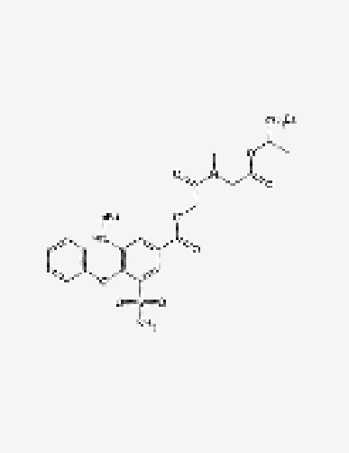 CCCCNc1cc(C(=O)OCC(=O)N(C)CC(=O)OC(C)C(=O)OCC)cc(S(N)(=O)=O)c1Oc1ccccc1